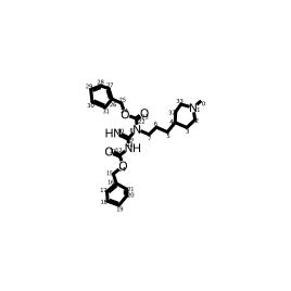 CN1CCC(CCCN(C(=N)NC(=O)OCc2ccccc2)C(=O)OCc2ccccc2)CC1